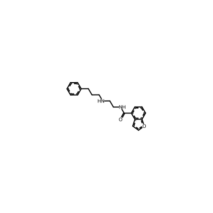 O=C(NCCNCCCc1ccccc1)c1cccc2occc12